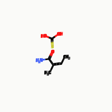 CC=C(C)C(N)=O.OC(O)=S